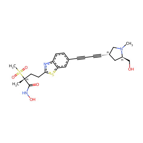 CN1C[C@@H](C#CC#Cc2ccc3nc(CC[C@](C)(C(=O)NO)S(C)(=O)=O)sc3c2)C[C@@H]1CO